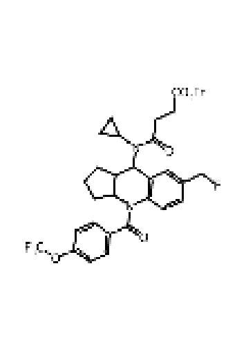 CCOC(=O)CCC(=O)N(C1CC1)C1c2cc(CF)ccc2N(C(=O)c2ccc(OC(F)(F)F)cc2)C2CCCC21